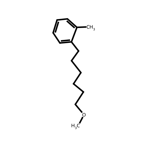 COCCCCCCc1ccccc1C